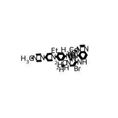 [2H]C([2H])([2H])Oc1cc(N2CCC(N3CCN(C)CC3)CC2)c(CC)cc1Nc1ncc(Br)c(Nc2ccc3nccnc3c2NS(C)(=O)=O)n1